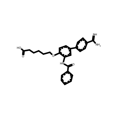 N=C(N)c1ccc(-c2ccc(OCCCCCC(=O)O)c(NC(=O)c3ccccc3)c2)cc1